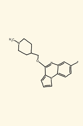 CN1CCC(COc2nc3cc(F)ccc3n3cccc23)CC1